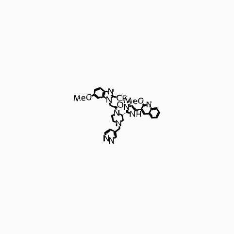 COc1ccc2nc(C(F)(F)F)n(CC(=O)N3CCN(Cc4ccnnc4)C[C@H]3c3ncc(-c4cc5ccccc5nc4OC)[nH]3)c2c1